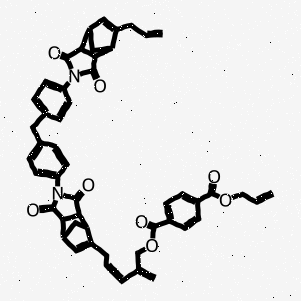 C=CCOC(=O)c1ccc(C(=O)OCC(=C)/C=C\CC2=CC3CC2C2C(=O)N(c4ccc(Cc5ccc(N6C(=O)C7C8C=C(CC=C)C(C8)C7C6=O)cc5)cc4)C(=O)C32)cc1